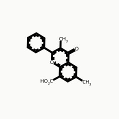 Cc1cc(C(=O)O)c2oc(-c3ccccc3)c(C)c(=O)c2c1